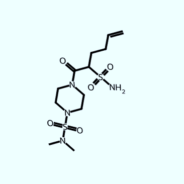 C=CCCC(C(=O)N1CCN(S(=O)(=O)N(C)C)CC1)S(N)(=O)=O